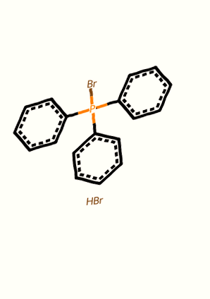 Br.Br[P](c1ccccc1)(c1ccccc1)c1ccccc1